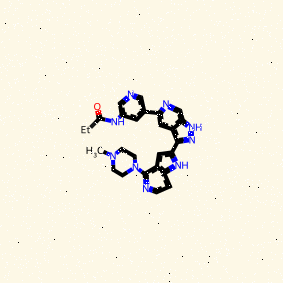 CCC(=O)Nc1cncc(-c2cc3c(-c4cc5c(N6CCN(C)CC6)nccc5[nH]4)n[nH]c3cn2)c1